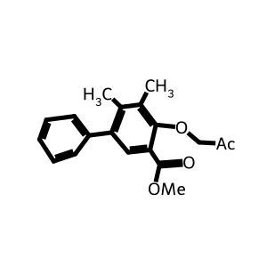 COC(=O)c1cc(-c2ccccc2)c(C)c(C)c1OCC(C)=O